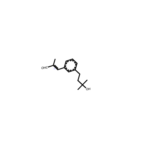 C/C(C=O)=C\c1cccc(CCC(C)(C)O)c1